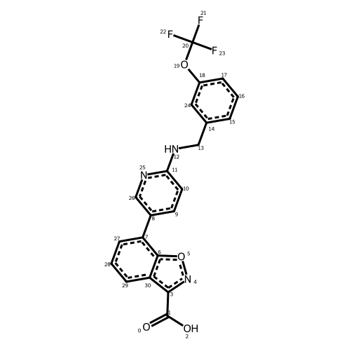 O=C(O)c1noc2c(-c3ccc(NCc4cccc(OC(F)(F)F)c4)nc3)cccc12